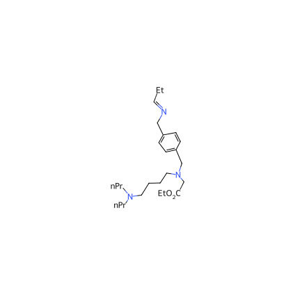 CC/C=N/Cc1ccc(CN(CCCCN(CCC)CCC)CC(=O)OCC)cc1